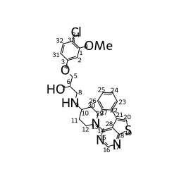 COc1cc(OCC(O)CNC2CCN(c3ncnc4scc(-c5ccccc5)c34)CC2)ccc1Cl